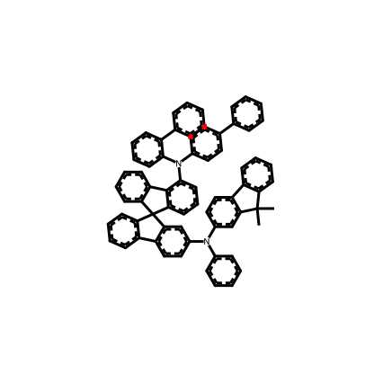 CC1(C)c2ccccc2-c2ccc(N(c3ccccc3)c3ccc4c(c3)C3(c5ccccc5-4)c4ccccc4-c4c(N(c5ccc(-c6ccccc6)cc5)c5ccccc5-c5ccccc5)cccc43)cc21